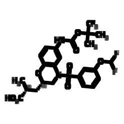 C[C@H](C[C@H]1CN(S(=O)(=O)c2cccc(OC(F)F)c2)c2cc(NC(=O)OC(C)(C)C(F)(F)F)ccc2O1)C(=O)O